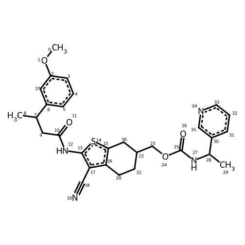 COc1cccc(C(C)CC(=O)Nc2sc3c(c2C#N)CCC(COC(=O)NC(C)c2cccnc2)C3)c1